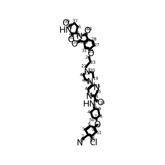 N#Cc1ccc(OC2CCC(NC(=O)c3cnc(N4CCN(CCCOc5ccc6c(c5)C(=O)N(C5CCC(=O)NC5=O)C6=O)CC4)cn3)CC2)cc1Cl